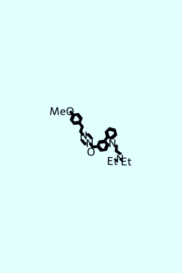 CCN(CC)CCCn1c2ccccc2c2cc(C(=O)N3CCN(CCc4ccc(OC)cc4)CC3)ccc21